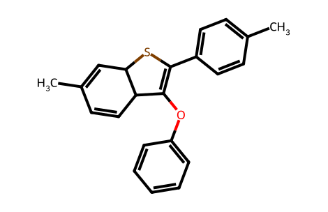 CC1=CC2SC(c3ccc(C)cc3)=C(Oc3ccccc3)C2C=C1